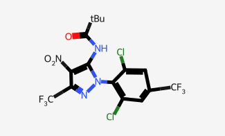 CC(C)(C)C(=O)Nc1c([N+](=O)[O-])c(C(F)(F)F)nn1-c1c(Cl)cc(C(F)(F)F)cc1Cl